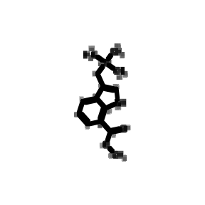 COC(=O)c1cccc2c(C[N+](C)(C)C)c[nH]c12